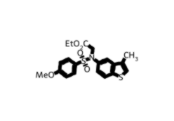 CCOC(=O)CN(c1ccc2scc(C)c2c1)S(=O)(=O)c1ccc(OC)cc1